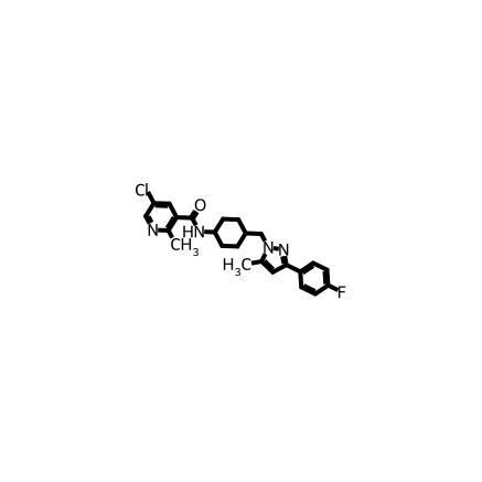 Cc1ncc(Cl)cc1C(=O)NC1CCC(Cn2nc(-c3ccc(F)cc3)cc2C)CC1